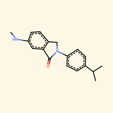 CNc1ccc2c(c1)C(=O)N(c1ccc(C(C)C)cc1)C2